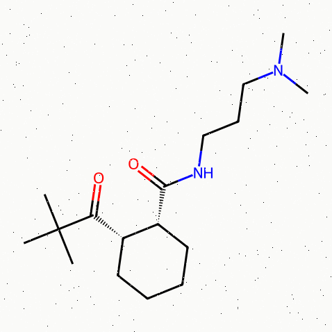 CN(C)CCCNC(=O)[C@@H]1CCCC[C@@H]1C(=O)C(C)(C)C